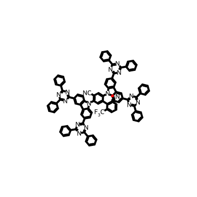 N#Cc1cc(-n2c3ccc(-c4nc(-c5ccccc5)nc(-c5ccccc5)n4)cc3c3cc(-c4nc(-c5ccccc5)nc(-c5ccccc5)n4)ccc32)c(-c2c(C#N)cccc2C(F)(F)F)cc1-n1c2ccc(-c3nc(-c4ccccc4)nc(-c4ccccc4)n3)cc2c2cc(-c3nc(-c4ccccc4)nc(-c4ccccc4)n3)ccc21